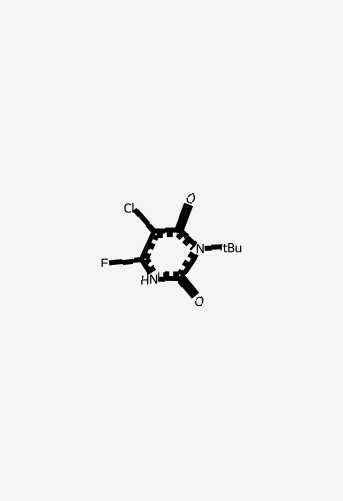 CC(C)(C)n1c(=O)[nH]c(F)c(Cl)c1=O